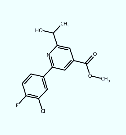 COC(=O)c1cc(-c2ccc(F)c(Cl)c2)nc(C(C)O)c1